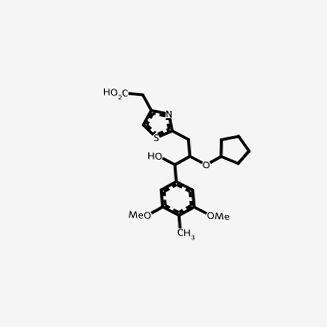 COc1cc(C(O)C(Cc2nc(CC(=O)O)cs2)OC2CCCC2)cc(OC)c1C